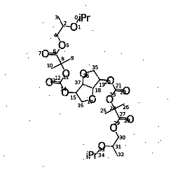 CC(C)OC(C)COC(=O)C(C)(C)OC(=O)OC1COC2C(OC(=O)OC(C)(C)C(=O)OCC(C)OC(C)C)COC12